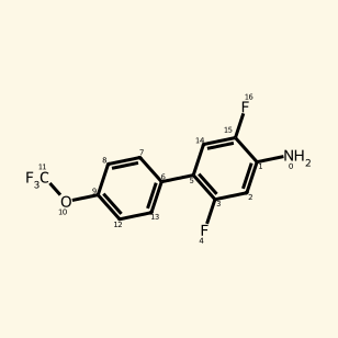 Nc1cc(F)c(-c2ccc(OC(F)(F)F)cc2)cc1F